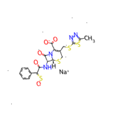 Cc1nnc(SCC2=C(C(=O)[O-])N3C(=O)C(NC(=O)C(=S=O)c4ccccc4)[C@H]3SC2)s1.[Na+]